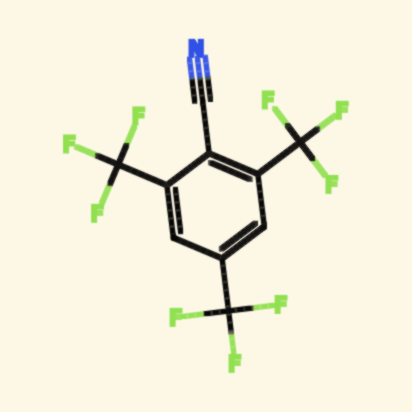 N#Cc1c(C(F)(F)F)cc(C(F)(F)F)cc1C(F)(F)F